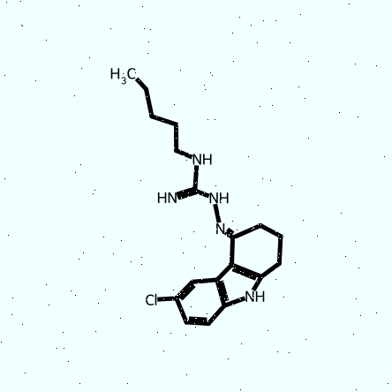 CCCCCNC(=N)NN=C1CCCc2[nH]c3ccc(Cl)cc3c21